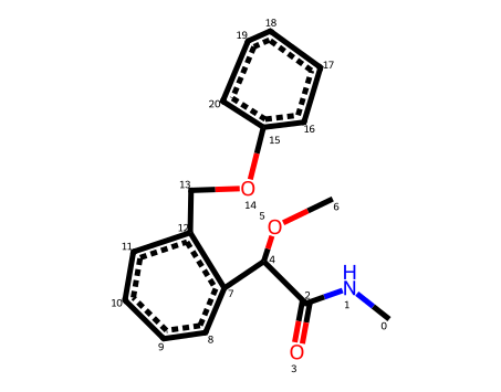 CNC(=O)C(OC)c1ccccc1COc1ccccc1